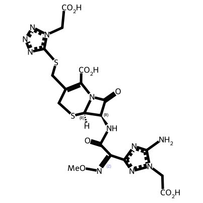 CO/N=C(\C(=O)N[C@@H]1C(=O)N2C(C(=O)O)=C(CSc3nnnn3CC(=O)O)CS[C@H]12)c1nc(N)n(CC(=O)O)n1